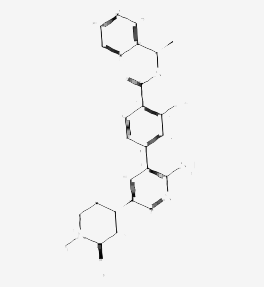 C[C@@H](NC(=O)c1ccc(-c2cc([C@@H]3CCN(C)C(=O)C3)cnc2N)cc1F)c1ccccc1